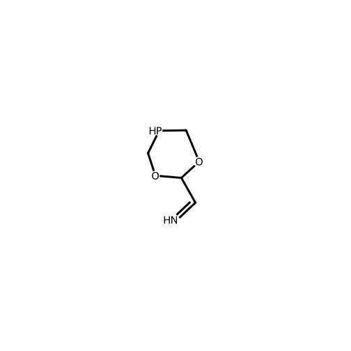 N=CC1OCPCO1